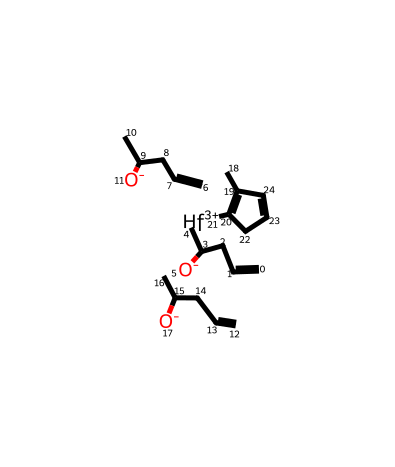 C=CCC(C)[O-].C=CCC(C)[O-].C=CCC(C)[O-].CC1=[C]([Hf+3])CC=C1